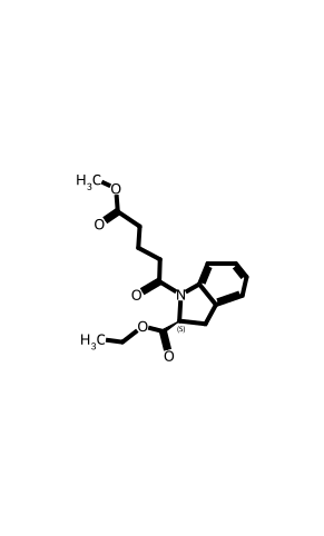 CCOC(=O)[C@@H]1Cc2ccccc2N1C(=O)CCCC(=O)OC